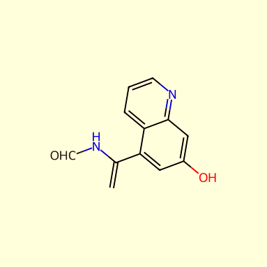 C=C(NC=O)c1cc(O)cc2ncccc12